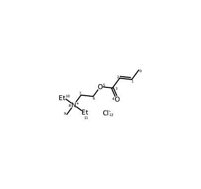 CC=CC(=O)OCC[N+](C)(CC)CC.[Cl-]